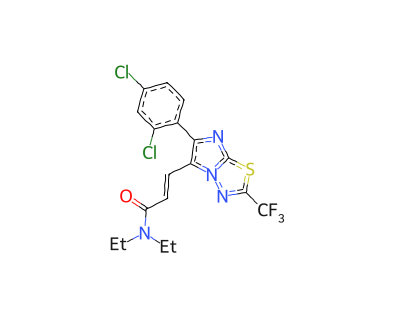 CCN(CC)C(=O)/C=C/c1c(-c2ccc(Cl)cc2Cl)nc2sc(C(F)(F)F)nn12